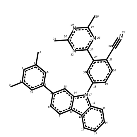 Cc1cc(C)cc(-c2ccc3c4ccccc4n(-c4ccc(C#N)c(-c5nc(C)nc(C)n5)c4)c3c2)c1